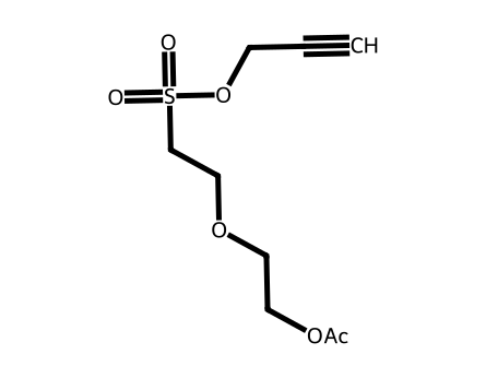 C#CCOS(=O)(=O)CCOCCOC(C)=O